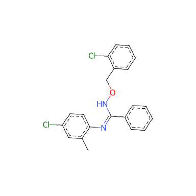 Cc1cc(Cl)ccc1/N=C(\NOCc1ccccc1Cl)c1ccccc1